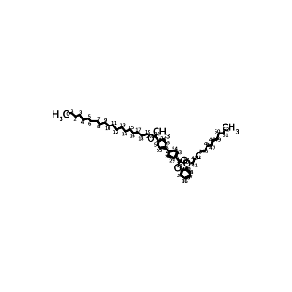 CCCCCCCCCCCCCCCCCCCCOC(C)c1ccc(-c2ccc(C(=O)Oc3ccccc3OCCCCCCCCCCCC)cc2)cc1